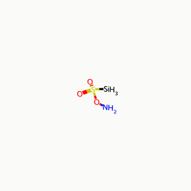 NOS(=O)(=O)[SiH3]